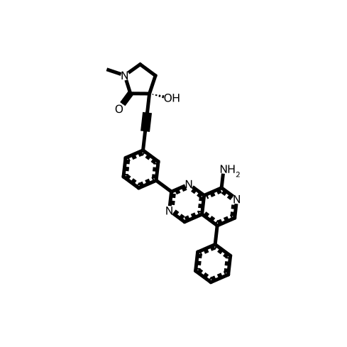 CN1CC[C@@](O)(C#Cc2cccc(-c3ncc4c(-c5ccccc5)cnc(N)c4n3)c2)C1=O